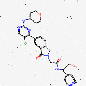 O=C(CN1Cc2ccc(-c3nc(NC4CCOCC4)ncc3Cl)cc2C1=O)NC(CO)c1ccncc1